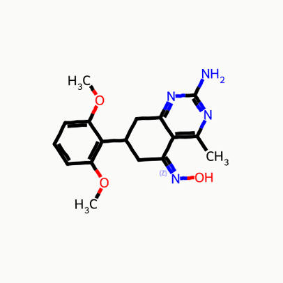 COc1cccc(OC)c1C1C/C(=N/O)c2c(C)nc(N)nc2C1